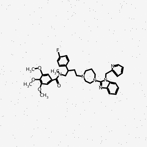 COc1cc(C(=O)N(C)CC(CCN2CCCN(c3nc4ccccc4n3Cc3ccccn3)CC2)c2ccc(F)cc2)cc(OC)c1OC